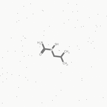 CC(C)CN(S)C(N)=O